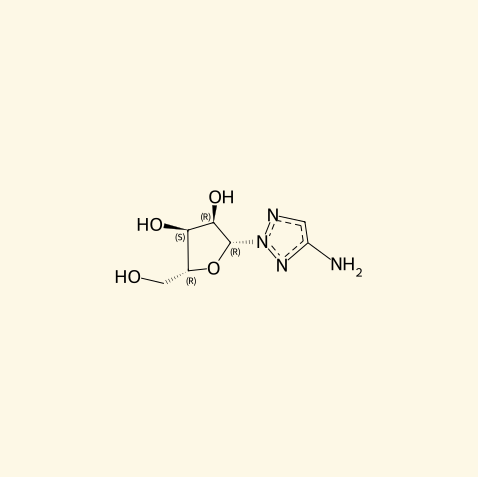 Nc1cnn([C@@H]2O[C@H](CO)[C@@H](O)[C@H]2O)n1